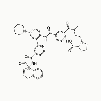 CN(CCN1CCCC1C(=O)O)C(=O)c1cccc(C(=O)Nc2ccc(N3CCCCC3)cc2-c2cc(C(=O)N[C@@]3(C=O)C=CCc4ccccc43)ccn2)c1